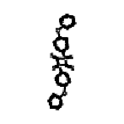 S=C1P(=S)(c2ccc(Oc3ccccc3)cc2)C(=S)P1(=S)c1ccc(Oc2ccccc2)cc1